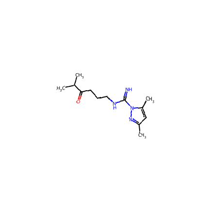 Cc1cc(C)n(C(=N)NCCCC(=O)C(C)C)n1